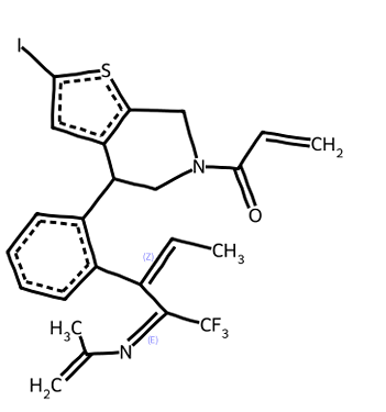 C=CC(=O)N1Cc2sc(I)cc2C(c2ccccc2C(=C/C)/C(=N\C(=C)C)C(F)(F)F)C1